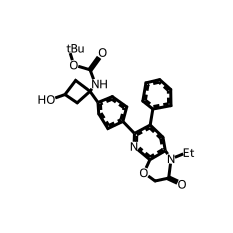 CCN1C(=O)COc2nc(-c3ccc(C4(NC(=O)OC(C)(C)C)CC(O)C4)cc3)c(-c3ccccc3)cc21